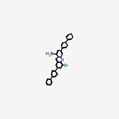 BC1=CC(C2=CCC(C3=CCCC=C3)C=C2)=CC2N=c3c(Br)cc(-c4ccc(-c5ccccc5)cc4)cc3=CC12